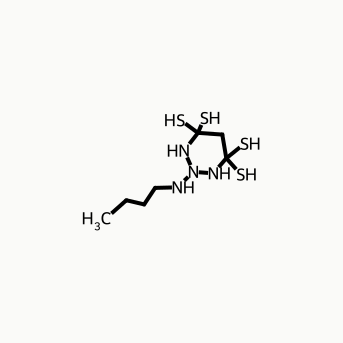 CCCCNN1NC(S)(S)CC(S)(S)N1